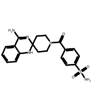 NC1=NC2(CCN(C(=O)c3ccc(S(N)(=O)=O)cc3)CC2)Nc2ccccc21